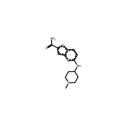 CN1CCC(Nc2ccc3sc(C(N)=O)cc3n2)CC1